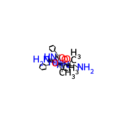 CC(=O)[C@@H](CCCN)NC(=O)[C@@H](CC(C)C)NC(=O)[C@@H](Cc1ccccc1)NC(=O)[C@H](N)Cc1ccccc1